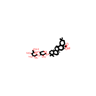 CC1(C)CC[C@]2(C(=O)O)CC[C@]3(C)C(=CCC4[C@@]5(C)CC[C@H](O[C@@H]6OC[C@@H](O)[C@H](O[C@@H]7OC(CO)[C@H](O)[C@H](O)C7O)C6O)C(C)(C)C5CC[C@]43C)C2C1